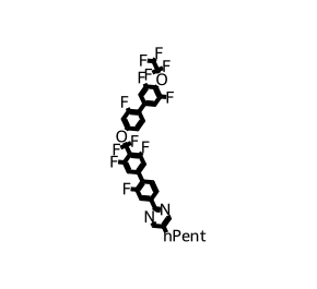 CCCCCc1cnc(-c2ccc(-c3cc(F)c(C(F)(F)Oc4ccc(-c5cc(F)c(OC(F)(F)C(F)F)c(F)c5)c(F)c4)c(F)c3)c(F)c2)nc1